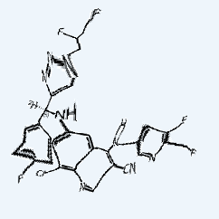 [2H][C@](Nc1cc(Cl)c2ncc(C#N)c(Nc3cnc(F)c(F)c3)c2c1)(c1ccc(F)cc1)c1cn(CC(F)F)nn1